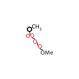 COCCOCCOCCOC(=O)c1cccc(C)c1